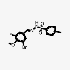 COc1c(F)cc(C=NNS(=O)(=O)c2ccc(C)cc2)cc1Br